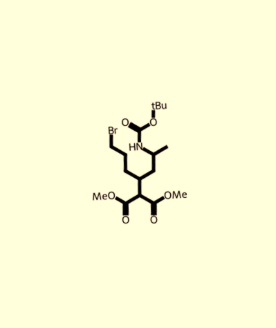 COC(=O)C(C(=O)OC)C(CCCBr)CC(C)NC(=O)OC(C)(C)C